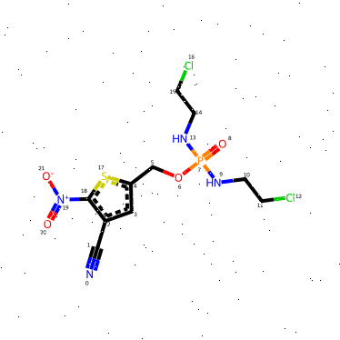 N#Cc1cc(COP(=O)(NCCCl)NCCCl)sc1[N+](=O)[O-]